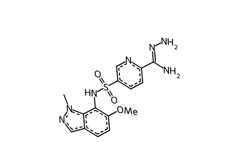 COc1ccc2cnn(C)c2c1NS(=O)(=O)c1ccc(C(N)=NN)nc1